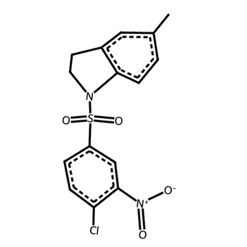 Cc1ccc2c(c1)CCN2S(=O)(=O)c1ccc(Cl)c([N+](=O)[O-])c1